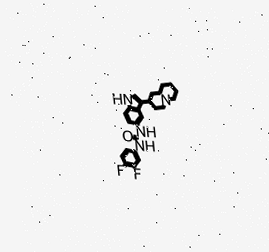 O=C(Nc1ccc(F)c(F)c1)Nc1ccc2[nH]cc(C3CCN4CCCCC4C3)c2c1